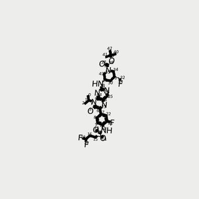 CC(C)n1c(=O)c(-c2ccc(NS(=O)(=O)CCC(F)F)c(F)c2)nc2cnc(N[C@H]3C[C@@H](CF)CN(C(=O)OC(C)(C)C)C3)nc21